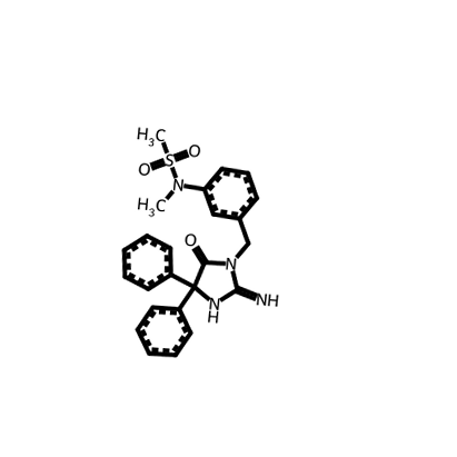 CN(c1cccc(CN2C(=N)NC(c3ccccc3)(c3ccccc3)C2=O)c1)S(C)(=O)=O